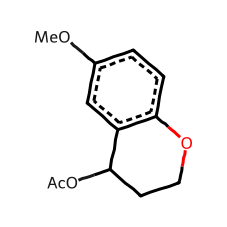 COc1ccc2c(c1)C(OC(C)=O)CCO2